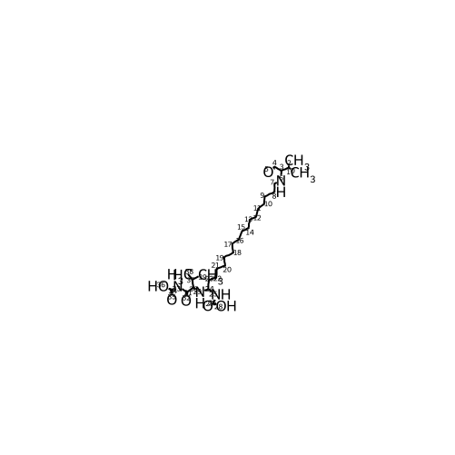 CC(C)C(C=O)NCCCCCCCCCCCCCCCCCC(NC(=O)O)NC(C(=O)NC(=O)O)C(C)C